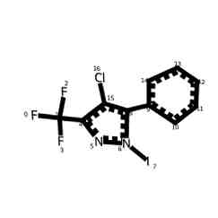 FC(F)(F)c1nn(I)c(-c2ccccc2)c1Cl